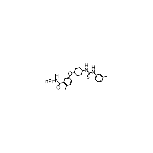 CCCNC(=O)c1cc(OC2CCC(NC(=S)Nc3cccc(C)c3)CC2)ccc1C